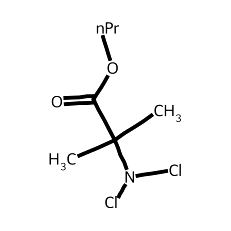 CCCOC(=O)C(C)(C)N(Cl)Cl